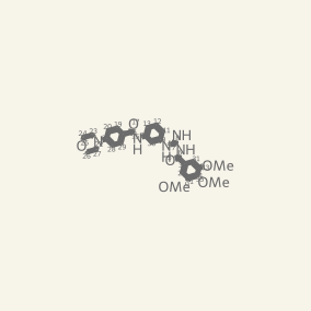 COc1cc(C(=O)NC(=N)Nc2cccc(NC(=O)c3ccc(N4CCOCC4)cc3)c2)cc(OC)c1OC